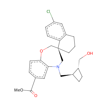 COC(=O)c1ccc2c(c1)N(C[C@@H]1CC[C@H]1CO)C[C@@]1(CCCc3cc(Cl)ccc31)CO2